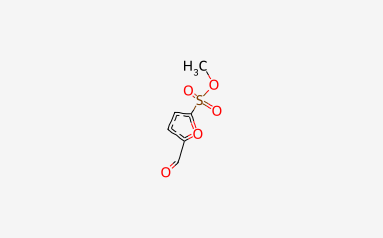 COS(=O)(=O)c1ccc(C=O)o1